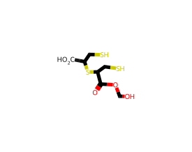 O=C(O)C(CS)SC(CS)C(=O)OCO